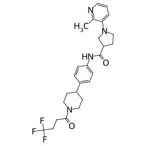 Cc1ncccc1N1CCC(C(=O)Nc2ccc(C3CCN(C(=O)CCC(F)(F)F)CC3)cc2)C1